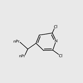 CCCC(CCC)c1cc(Cl)nc(Cl)c1